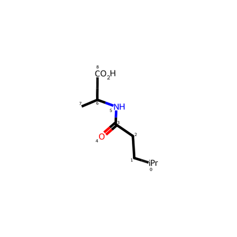 CC(C)CCC(=O)NC(C)C(=O)O